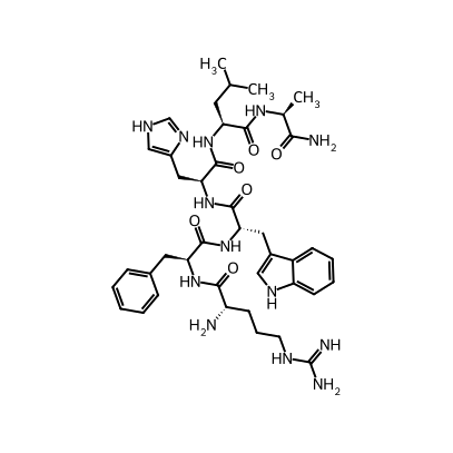 CC(C)C[C@H](NC(=O)[C@H](Cc1c[nH]cn1)NC(=O)[C@H](Cc1c[nH]c2ccccc12)NC(=O)[C@H](Cc1ccccc1)NC(=O)[C@@H](N)CCCNC(=N)N)C(=O)N[C@@H](C)C(N)=O